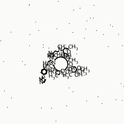 CC[C@H]1OC(=O)[C@H](C)[C@@H](O[C@H]2C[C@@](C)(OC)[C@@H](O)[C@H](C)O2)[C@H](C)[C@@H](O[C@@H]2O[C@H](C)C[C@H](N(C)CCc3cn(CCCOc4ccc(-n5ccnn5)cc4)nn3)[C@H]2O)[C@](C)(O)C[C@@H](C)CN(C)[C@H](C)[C@@H](O)[C@]1(C)O